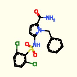 NC(=O)c1ccc(NS(=O)(=O)c2c(Cl)cccc2Cl)n1Cc1ccccc1